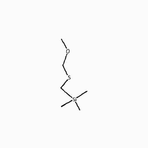 COCSC[Si](C)(C)C